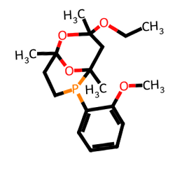 CCOC1(C)CC2(C)OC(C)(CCP2c2ccccc2OC)O1